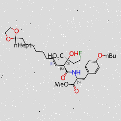 CCCCCCCC1(CCCCCC/C=C/[C@H](C(=O)N[C@@H](Cc2ccc(OCCCC)cc2)C(=O)OC)[C@@](O)(CCF)C(=O)O)OCCO1